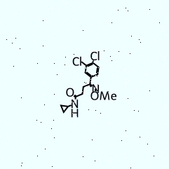 CON=C(CCC(=O)NC1CC1)c1ccc(Cl)c(Cl)c1